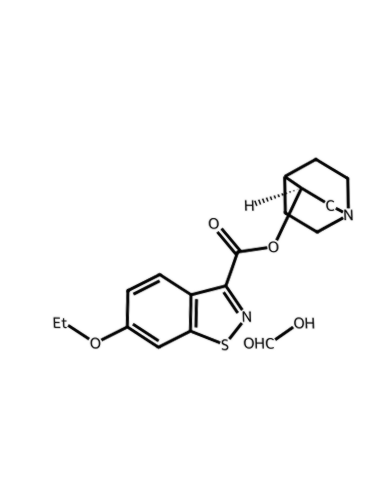 CCOc1ccc2c(C(=O)O[C@@H]3CN4CCC3CC4)nsc2c1.O=CO